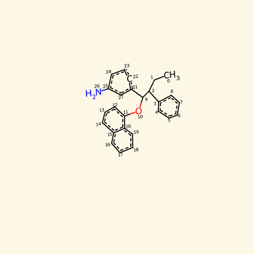 CCC(c1ccccc1)C(Oc1cccc2ccccc12)c1cccc(N)c1